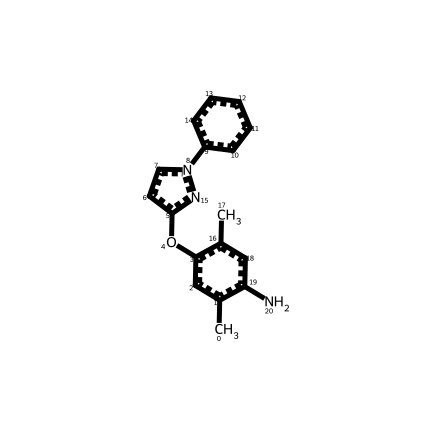 Cc1cc(Oc2ccn(-c3ccccc3)n2)c(C)cc1N